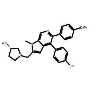 COc1ccc(-c2ncc3c(cc(CN4CC[C@H](N)C4)n3C)c2-c2ccc(C#N)cc2)cc1